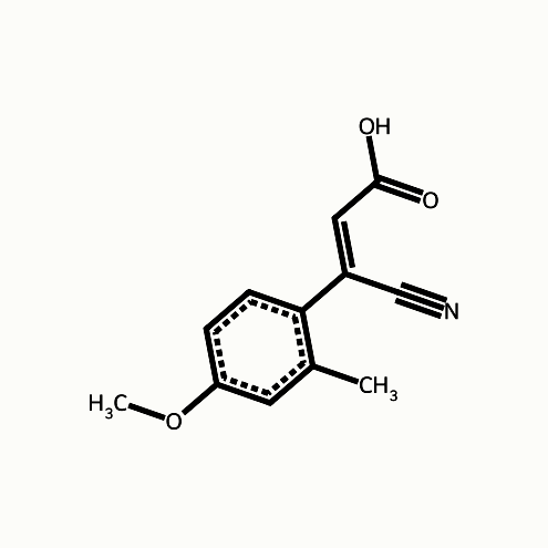 COc1ccc(C(C#N)=CC(=O)O)c(C)c1